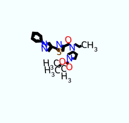 CCCN(C(=O)c1csc(-c2cnn(-c3ccccc3)c2)n1)C1CCN(C(=O)OC(C)(C)C)C1